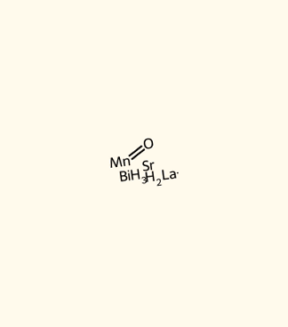 [BiH3].[La].[O]=[Mn].[SrH2]